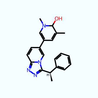 CC1=CC(c2ccc3nnc([C@H](C)c4ccccc4)n3c2)=CN(C)C1O